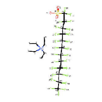 CC[N+](CC)(CC)CC.O=S(=O)([O-])C(F)(F)C(F)(F)C(F)(F)C(F)(F)C(F)(F)C(F)(F)C(F)(F)C(F)(F)C(F)(F)C(F)(F)C(F)(F)C(F)(F)F